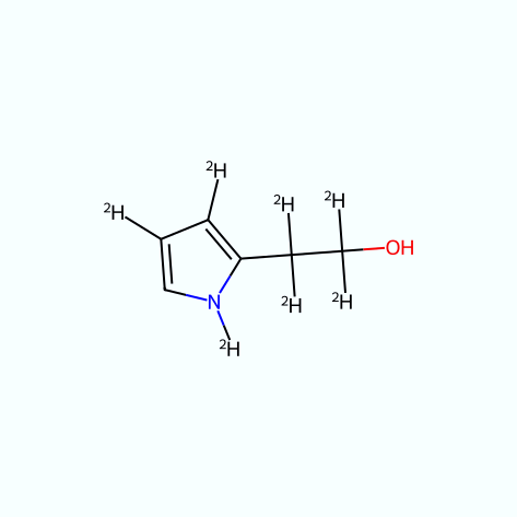 [2H]c1cn([2H])c(C([2H])([2H])C([2H])([2H])O)c1[2H]